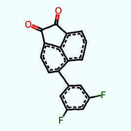 O=C1C(=O)c2ccc(-c3cc(F)cc(F)c3)c3cccc1c23